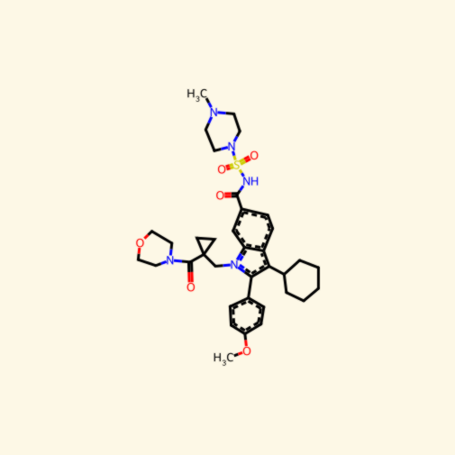 COc1ccc(-c2c(C3CCCCC3)c3ccc(C(=O)NS(=O)(=O)N4CCN(C)CC4)cc3n2CC2(C(=O)N3CCOCC3)CC2)cc1